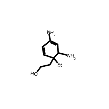 CCC1(CCO)C=CC(N)=CC1N